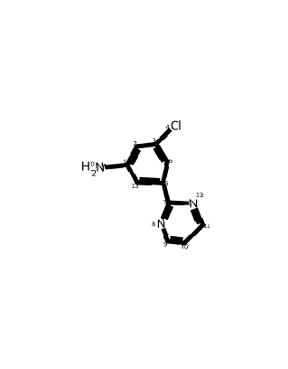 Nc1cc(Cl)cc(-c2ncccn2)c1